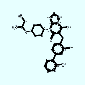 CCCc1c(Cc2ccc(-c3ccccc3C#N)cc2F)c(=O)n([C@H]2CC[C@H](OC(C)CO)CC2)c2ncnn12